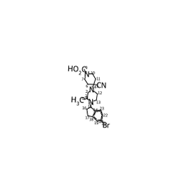 C[C@H]1CN(C2(C#N)CCN(C(=O)O)CC2)CCN1C1CCc2cc(Br)ccc21